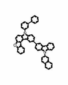 c1ccc(-c2cccc(-n3c4ccc(-c5ccc6c(c5)c5ccccc5n6-c5ccc6ccccc6c5)cc4c4c5c(ccc43)oc3ccccc35)c2)cc1